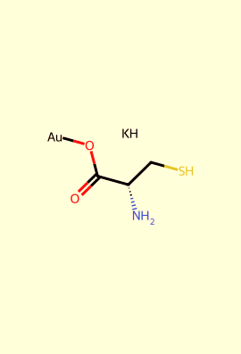 N[C@@H](CS)C(=O)[O][Au].[KH]